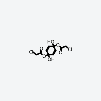 O=C(CCl)OC1(O)C=CC(O)(OC(=O)CCl)C=C1